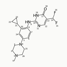 CN1CCN(c2ccc(Nc3ncc(C(F)F)c(=O)[nH]3)c(C3CC3)c2)CC1